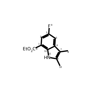 CCOC(=O)c1cc(F)cc2c(C)c(C)[nH]c12